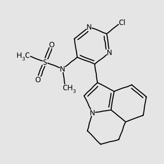 CN(c1cnc(Cl)nc1-c1cn2c3c1C=CCC3CCC2)S(C)(=O)=O